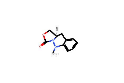 O=C(O)N1c2ccccc2C[C@@H]2COC(=O)N21